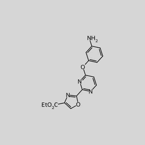 CCOC(=O)c1coc(-c2nccc(Oc3cccc(N)c3)n2)n1